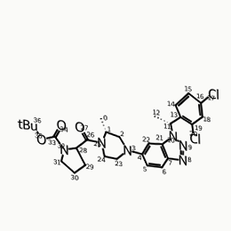 C[C@@H]1CN(c2ccc3nnn([C@H](C)c4ccc(Cl)cc4Cl)c3c2)CCN1C(=O)C1CCCN1C(=O)OC(C)(C)C